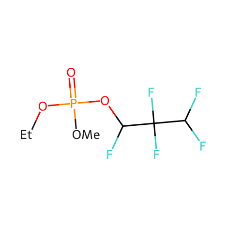 CCOP(=O)(OC)OC(F)C(F)(F)C(F)F